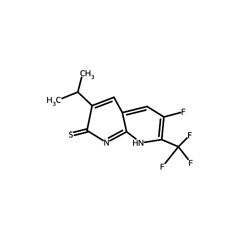 CC(C)c1cc2cc(F)c(C(F)(F)F)[nH]c-2nc1=S